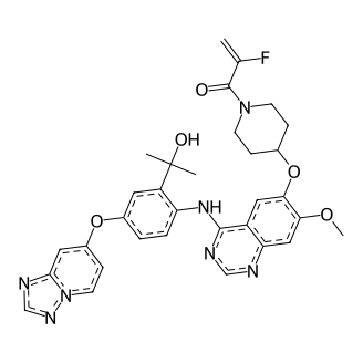 C=C(F)C(=O)N1CCC(Oc2cc3c(Nc4ccc(Oc5ccn6ncnc6c5)cc4C(C)(C)O)ncnc3cc2OC)CC1